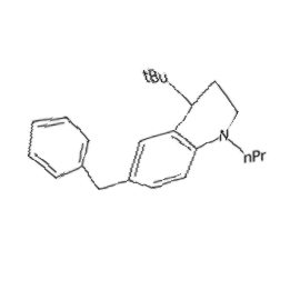 CCCN1CCC(C(C)(C)C)c2cc(Cc3ccccc3)ccc21